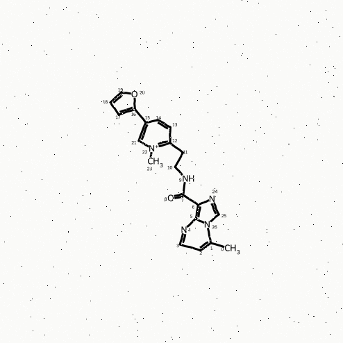 Cc1ccnc2c(C(=O)NCCc3ccc(-c4ccco4)c[n+]3C)ncn12